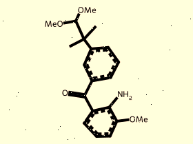 COc1cccc(C(=O)c2cccc(C(C)(C)C(OC)OC)c2)c1N